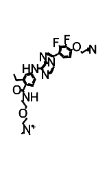 CCc1cc(Nc2nccn3c(-c4ccc(OCC#N)c(F)c4F)cnc23)ccc1C(=O)NCCOCC[N+](C)(C)C